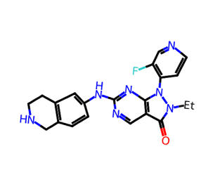 CCn1c(=O)c2cnc(Nc3ccc4c(c3)CCNC4)nc2n1-c1ccncc1F